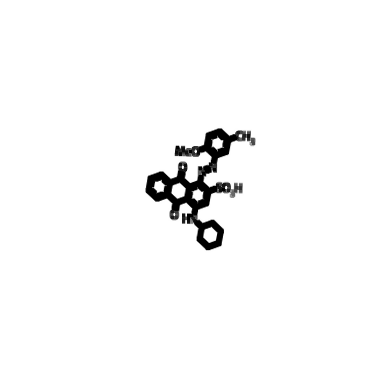 COc1ccc(C)cc1/N=N/c1c(S(=O)(=O)O)cc(NC2CCCCC2)c2c1C(=O)c1ccccc1C2=O